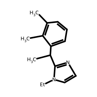 CCn1ccnc1C(C)c1cccc(C)c1C